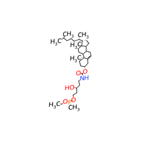 CCOP(C)OCCC(O)CCNC(=O)O[C@@H]1CC[C@]2(C)C(=CCC3C2CC[C@]2(C)C3CC[C@H]2[C@@H](C)CCCC(C)C)C1